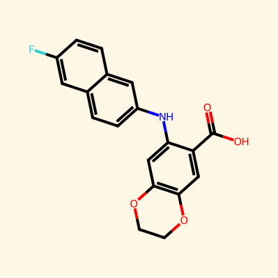 O=C(O)c1cc2c(cc1Nc1ccc3cc(F)ccc3c1)OCCO2